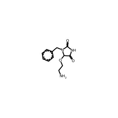 NCCOC1C(=O)NC(=O)N1Cc1ccccc1